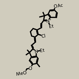 CCN1/C(=C\C=C2/CCCC(/C=C/C3=[N+](CC)c4ccc(OC(C)=O)cc4C3(C)C)=C2Cl)C(C)(C)c2cc(OCOC)c(C)cc21